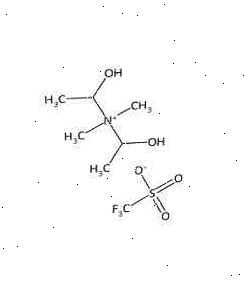 CC(O)[N+](C)(C)C(C)O.O=S(=O)([O-])C(F)(F)F